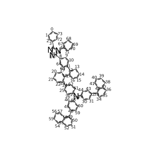 c1ccc(-c2nnc(-c3ccc(-c4ccccc4-c4ccccc4-c4ccc(N(c5ccc(-c6cccc7ccccc67)cc5)c5ccc(-c6cccc7ccccc67)cc5)cc4)cc3)n2-c2ccccc2)cc1